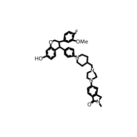 COc1cc(C2COc3cc(O)ccc3C2c2ccc(N3CCC(CN4CCN(c5ccc6c(c5)CN(C)C6=O)CC4)CC3)cc2)ccc1F